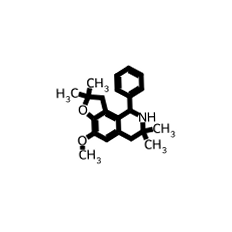 COc1cc2c(c3c1OC(C)(C)C3)C(c1ccccc1)NC(C)(C)C2